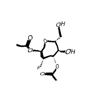 CC(=O)O[C@H]1O[C@H](CO)[C@@H](O)[C@H](OC(C)=O)[C@@H]1F